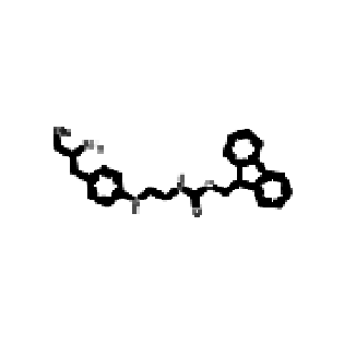 CC(C)(C)CC(N)Cc1ccc(NCCNC(=O)OCC2c3ccccc3-c3ccccc32)cc1